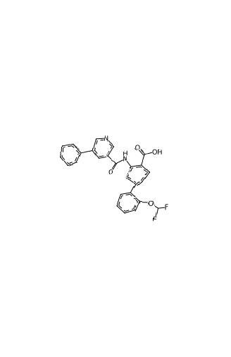 O=C(Nc1cc(-c2ccccc2OC(F)F)ccc1C(=O)O)c1cncc(-c2ccccc2)c1